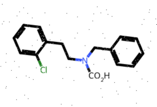 O=C(O)N(CCc1ccccc1Cl)Cc1ccccc1